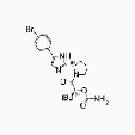 CCC(C)[C@H](OC(N)=O)C(=O)N1CCC[C@H]1c1ncc(-c2ccc(Br)cc2)[nH]1